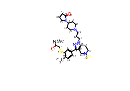 CNC(=O)CSc1cc(-c2nn(CCCN3CCC(N4CCCC4=O)CC3)c3c2CN(S)CC3)ccc1C(F)(F)F